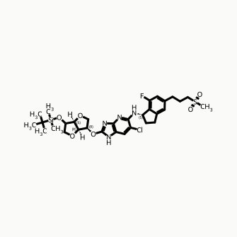 CC(C)(C)[Si](C)(C)OC1CO[C@H]2[C@@H]1OC[C@H]2Oc1nc2nc(N[C@H]3CCc4cc(CCCS(C)(=O)=O)cc(F)c43)c(Cl)cc2[nH]1